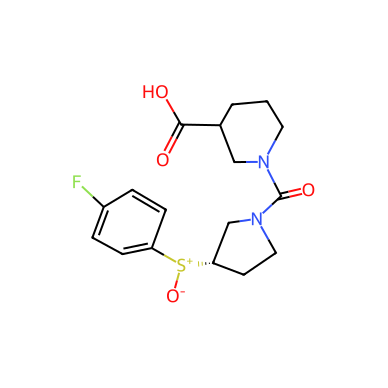 O=C(O)C1CCCN(C(=O)N2CC[C@H]([S+]([O-])c3ccc(F)cc3)C2)C1